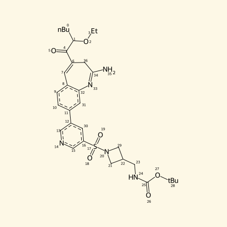 CCCCC(OCC)C(=O)C1=Cc2ccc(-c3cncc(S(=O)(=O)N4CC(CNC(=O)OC(C)(C)C)C4)c3)cc2N=C(N)C1